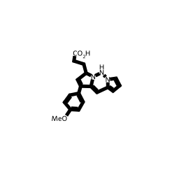 COc1ccc(C2=CC(CCC(=O)O)N3Nn4cccc4C=C23)cc1